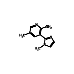 Cc1cnc(N)c(-c2nccn2C)c1